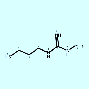 CNC(=N)NCCCS